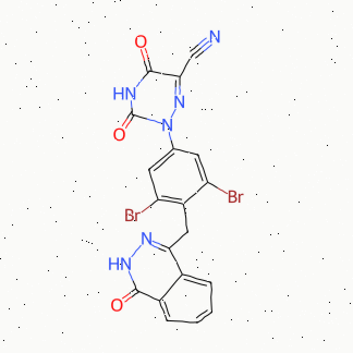 N#Cc1nn(-c2cc(Br)c(Cc3n[nH]c(=O)c4ccccc34)c(Br)c2)c(=O)[nH]c1=O